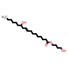 CCCCCCC(O)C/C=C/CCCCCCCC(=O)OCCCCO